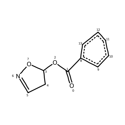 O=C(OC1CC=NO1)c1ccccc1